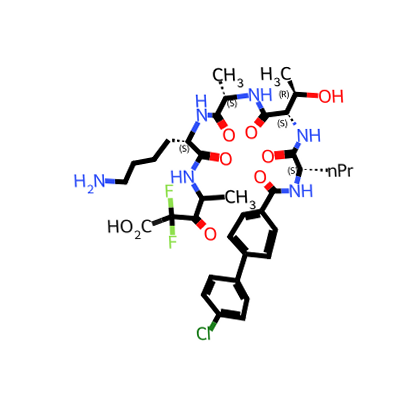 CCC[C@H](NC(=O)c1ccc(-c2ccc(Cl)cc2)cc1)C(=O)N[C@H](C(=O)N[C@@H](C)C(=O)N[C@@H](CCCCN)C(=O)NC(C)C(=O)C(F)(F)C(=O)O)[C@@H](C)O